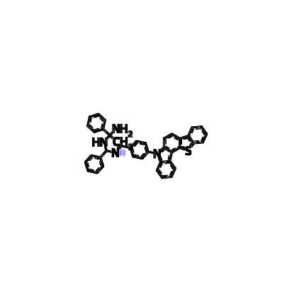 CC(N)(NC(/N=C/c1ccc(-n2c3ccccc3c3c4sc5ccccc5c4ccc32)cc1)c1ccccc1)c1ccccc1